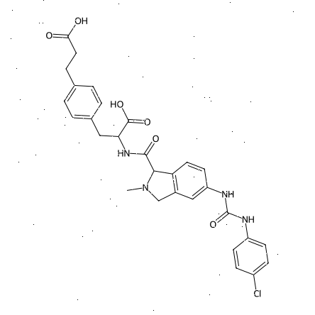 CN1Cc2cc(NC(=O)Nc3ccc(Cl)cc3)ccc2C1C(=O)NC(Cc1ccc(CCC(=O)O)cc1)C(=O)O